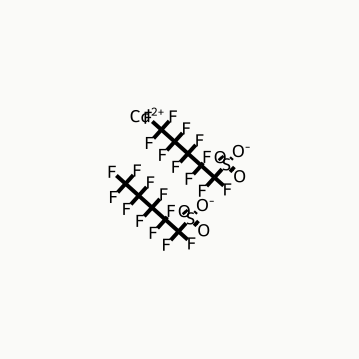 O=S(=O)([O-])C(F)(F)C(F)(F)C(F)(F)C(F)(F)C(F)(F)F.O=S(=O)([O-])C(F)(F)C(F)(F)C(F)(F)C(F)(F)C(F)(F)F.[Cd+2]